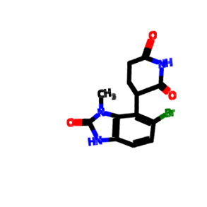 Cn1c(=O)[nH]c2ccc(Br)c(C3CCC(=O)NC3=O)c21